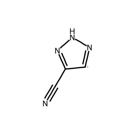 N#Cc1[c]n[nH]n1